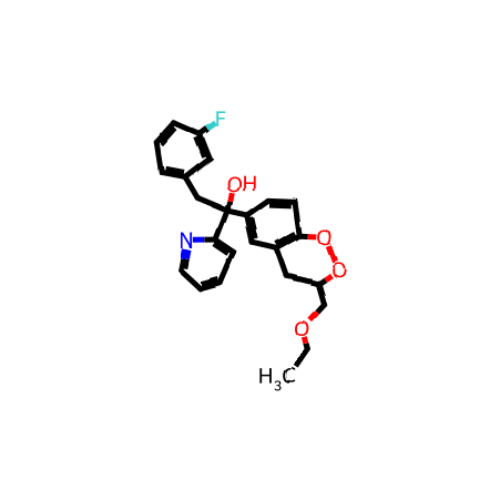 CCOCC1Cc2cc(C(O)(Cc3cccc(F)c3)c3ccccn3)ccc2OO1